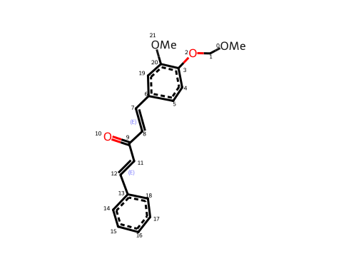 COCOc1ccc(/C=C/C(=O)/C=C/c2ccccc2)cc1OC